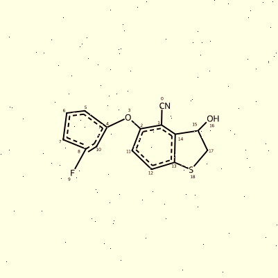 N#Cc1c(Oc2cccc(F)c2)ccc2c1C(O)CS2